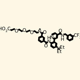 CCN(CC)c1ccc(NC(=O)c2cccc(C(=O)N(C)CCOCCOCCOCCC(=O)O)c2)c(-c2cc(C(=O)NCc3cccc(C(F)(F)F)c3)ccn2)c1